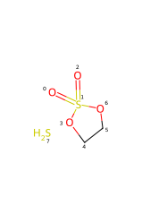 O=S1(=O)OCCO1.S